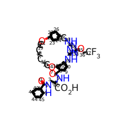 O=C(NC[C@H](NC(=O)c1ccc2cc1OCCCCCCOc1ccc(cc1)CNc1nc(nc(OCC(F)(F)F)n1)N2)C(=O)O)c1ccccc1